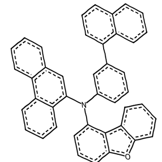 c1cc(-c2cccc3ccccc23)cc(N(c2cc3ccccc3c3ccccc23)c2cccc3oc4ccccc4c23)c1